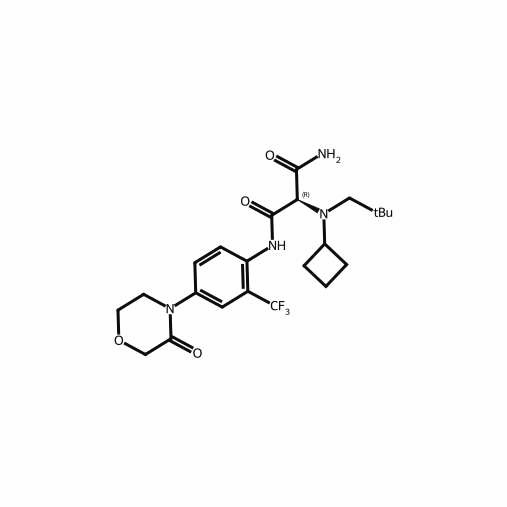 CC(C)(C)CN(C1CCC1)[C@H](C(N)=O)C(=O)Nc1ccc(N2CCOCC2=O)cc1C(F)(F)F